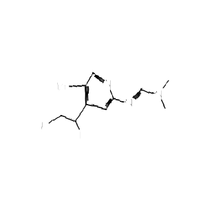 CN(C)/C=N/c1cc(C(F)CF)c(Br)cn1